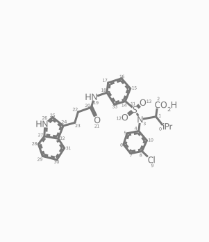 CC(C)C(C(=O)O)N(c1cccc(Cl)c1)S(=O)(=O)c1cccc(NC(=O)CCc2c[nH]c3ccccc23)c1